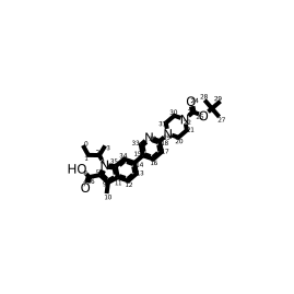 CCC(C)n1c(C(=O)O)c(C)c2ccc(-c3ccc(N4CCN(C(=O)OC(C)(C)C)CC4)nc3)cc21